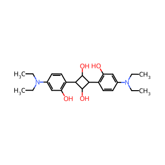 CCN(CC)c1ccc(C2C(O)C(c3ccc(N(CC)CC)cc3O)C2O)c(O)c1